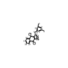 Cc1cc(C)cc(Cn2nnc3c2C(=O)c2ccccc2C3=O)c1